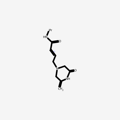 C=C1CN(C/C=C/C(=O)NC(C)C)CC(=O)N1